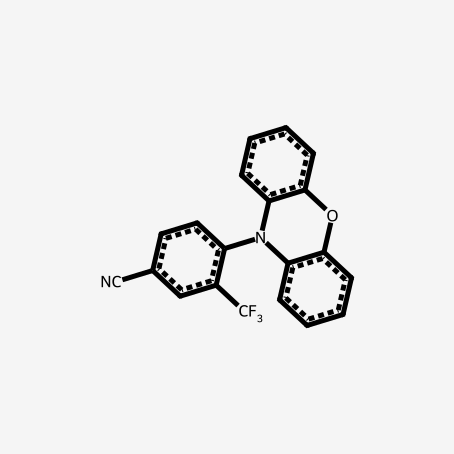 N#Cc1ccc(N2c3ccccc3Oc3ccccc32)c(C(F)(F)F)c1